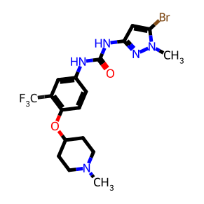 CN1CCC(Oc2ccc(NC(=O)Nc3cc(Br)n(C)n3)cc2C(F)(F)F)CC1